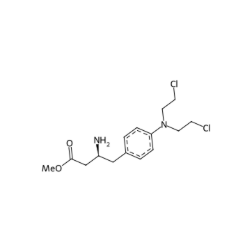 COC(=O)C[C@@H](N)Cc1ccc(N(CCCl)CCCl)cc1